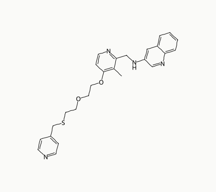 Cc1c(OCCOCCSCc2ccncc2)ccnc1CNc1cnc2ccccc2c1